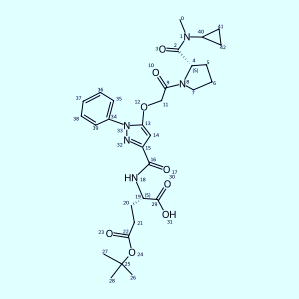 CN(C(=O)[C@@H]1CCCN1C(=O)COc1cc(C(=O)N[C@@H](CCC(=O)OC(C)(C)C)C(=O)O)nn1-c1ccccc1)C1CC1